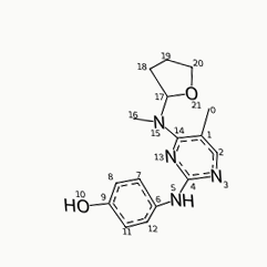 Cc1cnc(Nc2ccc(O)cc2)nc1N(C)C1CCCO1